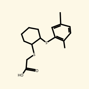 Cc1ccc(C)c(SC2CCCCC2SCC(=O)O)c1